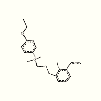 CCOc1ccc([Si](C)(C)CCCc2cccc(C=O)c2C)cc1